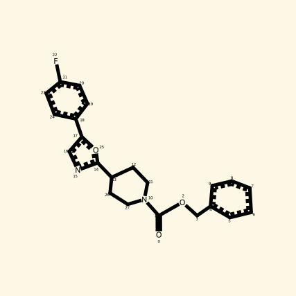 O=C(OCc1ccccc1)N1CCC(c2ncc(-c3ccc(F)cc3)o2)CC1